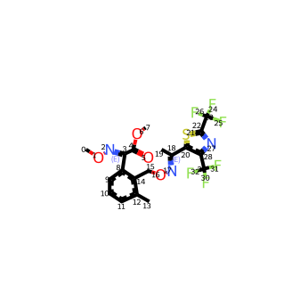 CO/N=C(/C(=O)OC)c1cccc(C)c1CO/N=C(\C)c1sc(C(F)(F)F)nc1C(F)(F)F